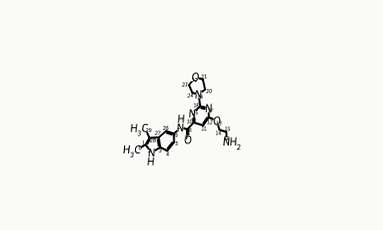 Cc1[nH]c2ccc(NC(=O)c3cc(OCCN)nc(N4CCOCC4)n3)cc2c1C